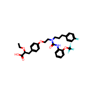 CCOC(Cc1ccc(OCCN(CCCc2ccc(F)cc2)C(=O)Nc2ccccc2OC(F)(F)F)cc1)C(=O)O